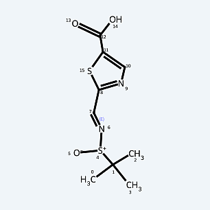 CC(C)(C)[S+]([O-])/N=C/c1ncc(C(=O)O)s1